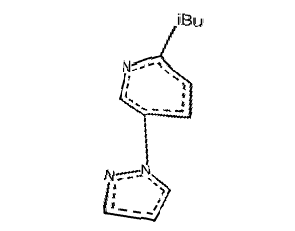 CCC(C)c1ccc(-n2cccn2)cn1